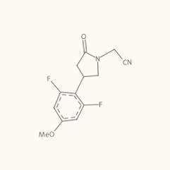 COc1cc(F)c(C2CC(=O)N(CC#N)C2)c(F)c1